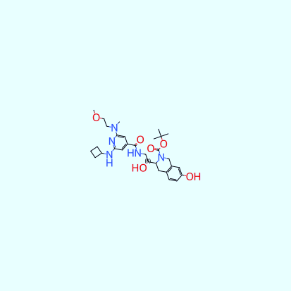 COCCN(C)c1cc(C(=O)NC[C@@H](O)C2Cc3ccc(O)cc3CN2C(=O)OC(C)(C)C)cc(NC2CCC2)n1